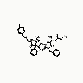 [CH2]NC(=O)C(C(=O)[C@H](CCSC)NC(=O)[C@H](Cc1ccccc1)NC(=O)[C@@H](NC(=O)OC(C)(C)C)[C@@H](C)CC)(C(=O)[C@@H](N)CSCc1ccc(C)cc1)c1ccccc1